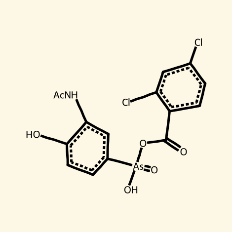 CC(=O)Nc1cc([As](=O)(O)OC(=O)c2ccc(Cl)cc2Cl)ccc1O